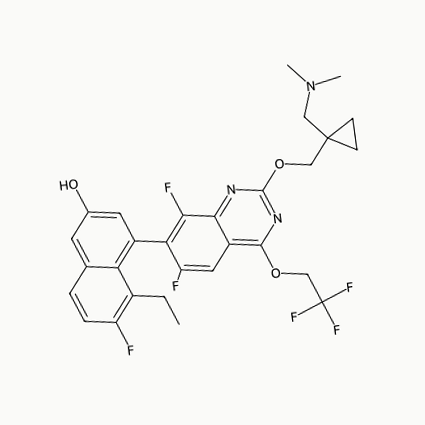 CCc1c(F)ccc2cc(O)cc(-c3c(F)cc4c(OCC(F)(F)F)nc(OCC5(CN(C)C)CC5)nc4c3F)c12